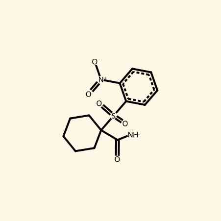 [NH]C(=O)C1(S(=O)(=O)c2ccccc2[N+](=O)[O-])CCCCC1